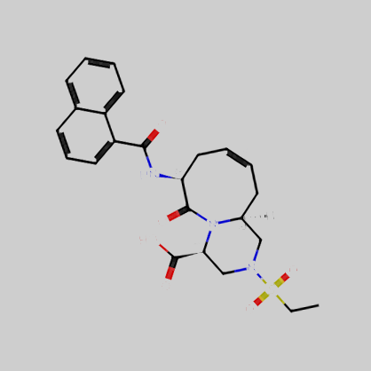 CCS(=O)(=O)N1C[C@@H]2C/C=C\C[C@H](NC(=O)c3cccc4ccccc34)C(=O)N2[C@H](C(=O)O)C1